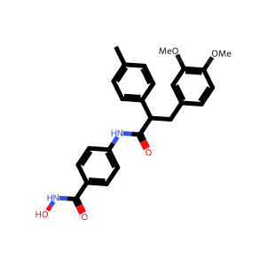 COc1ccc(CC(C(=O)Nc2ccc(C(=O)NO)cc2)c2ccc(C)cc2)cc1OC